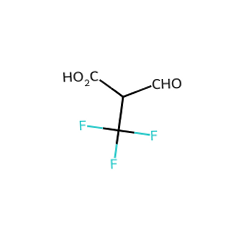 O=CC(C(=O)O)C(F)(F)F